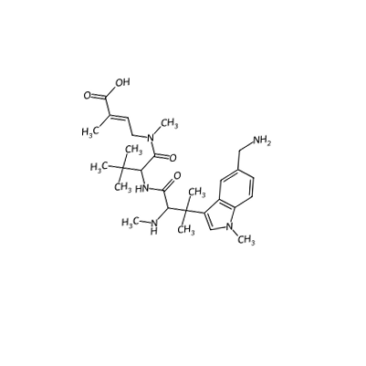 CNC(C(=O)NC(C(=O)N(C)C/C=C(\C)C(=O)O)C(C)(C)C)C(C)(C)c1cn(C)c2ccc(CN)cc12